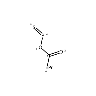 CCCC(=O)OP=S